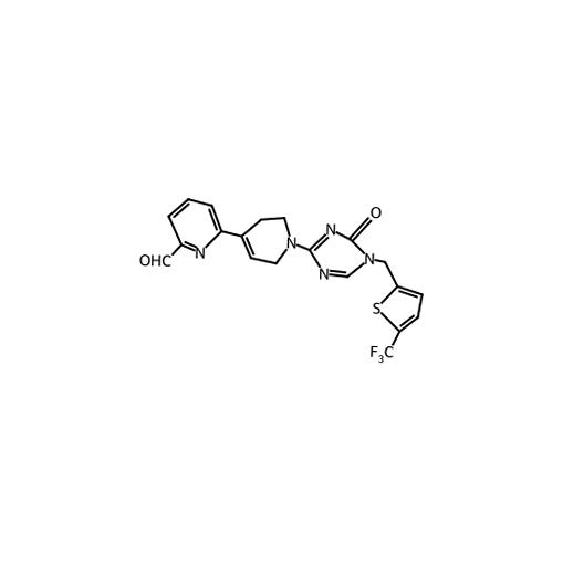 O=Cc1cccc(C2=CCN(c3ncn(Cc4ccc(C(F)(F)F)s4)c(=O)n3)CC2)n1